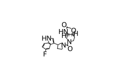 O=C1CO[C@H]2CCN(C(=O)N3CCC(c4c[nH]c5ccc(F)cc45)C3)C[C@H]2N1